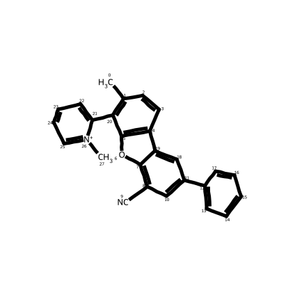 Cc1ccc2c(oc3c(C#N)cc(-c4ccccc4)cc32)c1-c1cccc[n+]1C